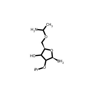 B[C@@H]1O[C@H](COC(C)N)C(O)C1OC(C)C